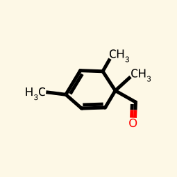 CC1=CC(C)C(C)(C=O)C=C1